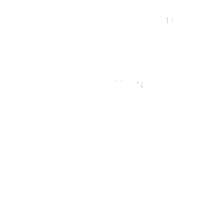 CCCCCCCCCCCCCCCC(=O)NCCCCC(CO)C[PH]=O